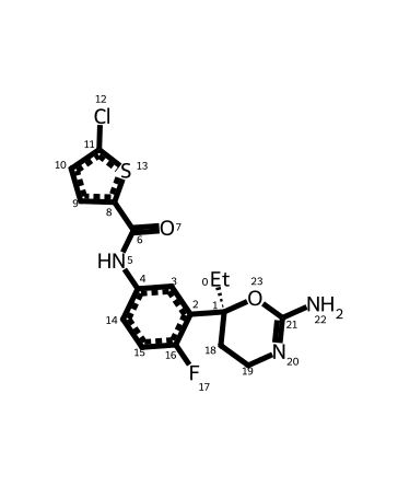 CC[C@@]1(c2cc(NC(=O)c3ccc(Cl)s3)ccc2F)CCN=C(N)O1